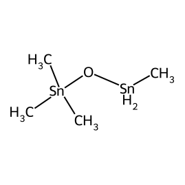 [CH3][SnH2][O][Sn]([CH3])([CH3])[CH3]